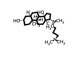 CN(C)CCCON(C)[C@H]1CC[C@]2(O)[C@@H]3CC[C@@H]4C[C@@H](O)CC[C@]4(C)[C@H]3CC[C@]12C